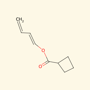 C=CC=COC(=O)C1CCC1